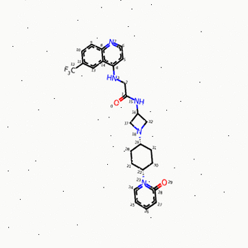 O=C(CNc1ccnc2ccc(C(F)(F)F)cc12)NC1CN([C@H]2CC[C@@H](n3ccccc3=O)CC2)C1